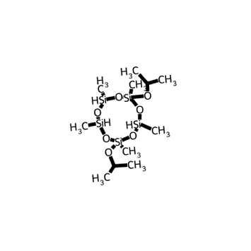 CC(C)O[Si]1(C)O[SiH](C)O[SiH](C)O[Si](C)(OC(C)C)O[SiH](C)O1